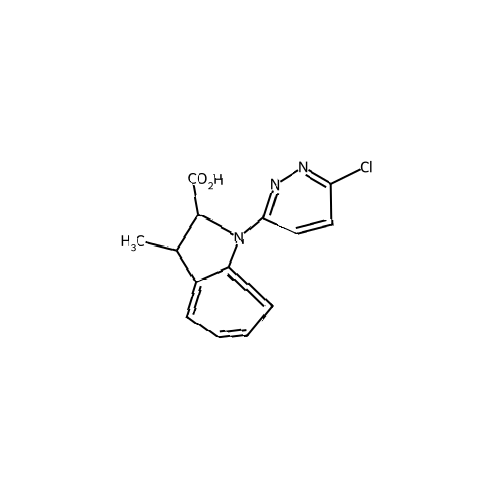 CC1c2ccccc2N(c2ccc(Cl)nn2)C1C(=O)O